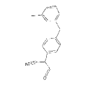 Cc1cccc(Cc2ccc(C(C#N)C=O)cc2)c1